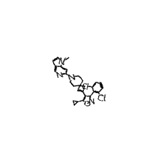 Cn1ccc2cnc(N3CCC4(C=C(c5c(-c6c(Cl)cccc6Cl)noc5C5CC5)C4)CC3)cc21